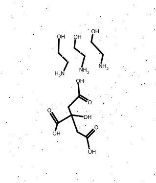 NCCO.NCCO.NCCO.O=C(O)CC(O)(CC(=O)O)C(=O)O